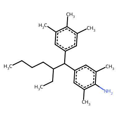 CCCCC(CC)C(c1cc(C)c(C)c(C)c1)c1cc(C)c(N)c(C)c1